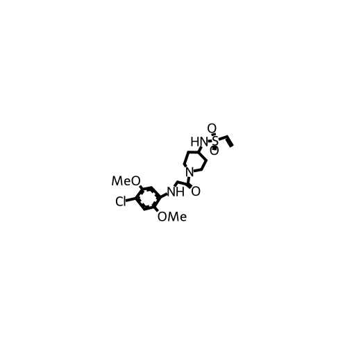 C=CS(=O)(=O)NC1CCN(C(=O)CNc2cc(OC)c(Cl)cc2OC)CC1